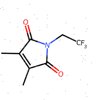 CC1=C(C)C(=O)N(CC(F)(F)F)C1=O